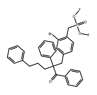 O=C(c1ccccc1)C(CCCc1ccccc1)(Cc1ccc(CP(=O)(OF)OF)c(Br)c1)c1ccccc1